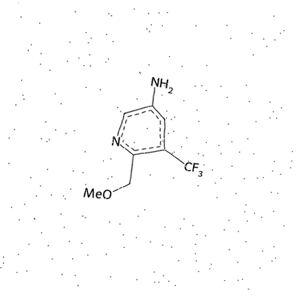 COCc1ncc(N)cc1C(F)(F)F